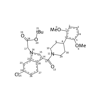 COc1cccc(OC)c1C1CCN(C(=O)c2cn(CC(=O)OC(C)(C)C)c3cc(Cl)ccc23)CC1